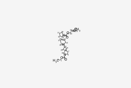 CCOC(=O)N1CCC2(CC(N3CC=C([C@@H]4CCCN4C(=O)OCCNC)CC3)C2)C1